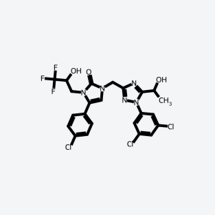 CC(O)c1nc(Cn2cc(-c3ccc(Cl)cc3)n(CC(O)C(F)(F)F)c2=O)nn1-c1cc(Cl)cc(Cl)c1